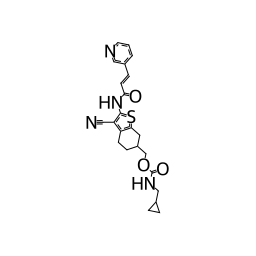 N#Cc1c(NC(=O)C=Cc2cccnc2)sc2c1CCC(COC(=O)NCC1CC1)C2